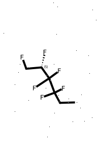 [CH2]CC(F)(F)C(F)(F)[C@@H](F)CF